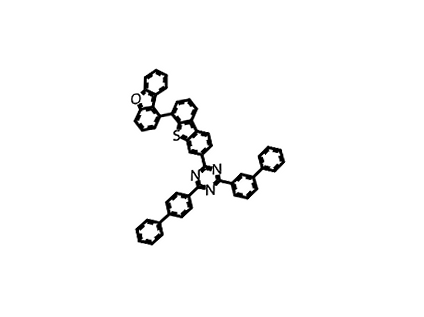 c1ccc(-c2ccc(-c3nc(-c4cccc(-c5ccccc5)c4)nc(-c4ccc5c(c4)sc4c(-c6cccc7oc8ccccc8c67)cccc45)n3)cc2)cc1